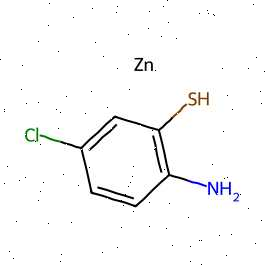 Nc1ccc(Cl)cc1S.[Zn]